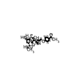 CNC(=O)[C@@H]1C[C@@H](O)CN1C(=O)[C@@H](n1cc(COc2ccc(C(C)=O)cc2)nn1)C(C)(C)C